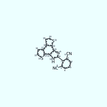 N#Cc1cccc(C#N)c1-c1nc2c([nH]1)c1sccc1c1ccsc12